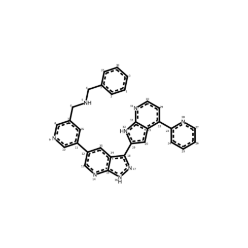 c1ccc(CNCc2cncc(-c3cnc4[nH]nc(-c5cc6c(-c7ccccn7)ccnc6[nH]5)c4c3)c2)cc1